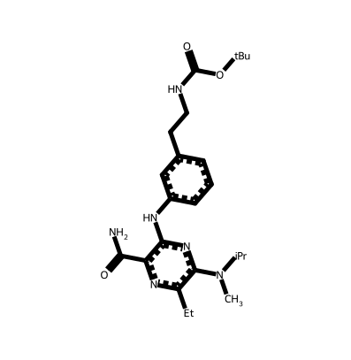 CCc1nc(C(N)=O)c(Nc2cccc(CCNC(=O)OC(C)(C)C)c2)nc1N(C)C(C)C